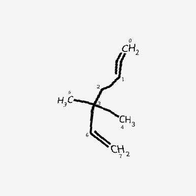 C=CCC(C)(C)C=C